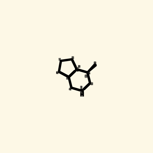 C[C@H]1CNCC2CCCN21